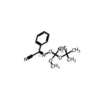 COC(C)(O/N=C(/C#N)c1ccccc1)OC(C)(C)C